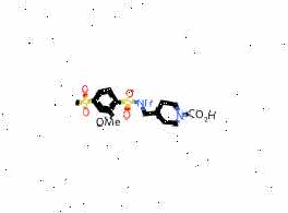 COc1cc(S(C)(=O)=O)ccc1S(=O)(=O)NCC1CCN(C(=O)O)CC1